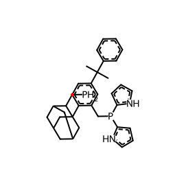 CC(C)(c1ccccc1)c1ccc(C23CC4CC(CC(C4)C2CP)C3)c(CP(c2ccc[nH]2)c2ccc[nH]2)c1